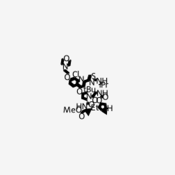 CC[C@@H]1C[C@]1(NC(=O)[C@@H]1C[C@@H](Oc2cc(-c3csc(NC(C)C)n3)nc3c(Cl)c(OCCN4CCOCC4)ccc23)CN1C(=O)[C@@H](NC(=O)O[C@H]1CC2C[C@H]2C1)C(C)(C)C)C(=O)OC